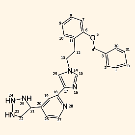 c1ccc(COc2ccccc2CCn2cnc(-c3cc(C4CNNN4)ccn3)c2)cc1